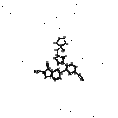 CN1Cc2ccc(-c3nc(C#N)ccc3-c3cnc(CC4(F)CCCC4)o3)cc2C1=O